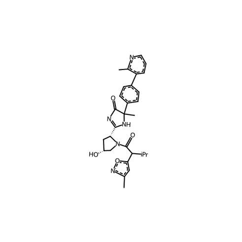 Cc1cc(C(C(=O)N2C[C@H](O)C[C@@H]2C2=NC(=O)C(C)(c3ccc(-c4cccnc4C)cc3)N2)C(C)C)on1